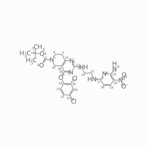 CC(C)(C)OC(=O)N1CCc2nc(NCCNc3ccc([N+](=O)[O-])c(N)n3)nc(Oc3ccc(Cl)cc3Cl)c2C1